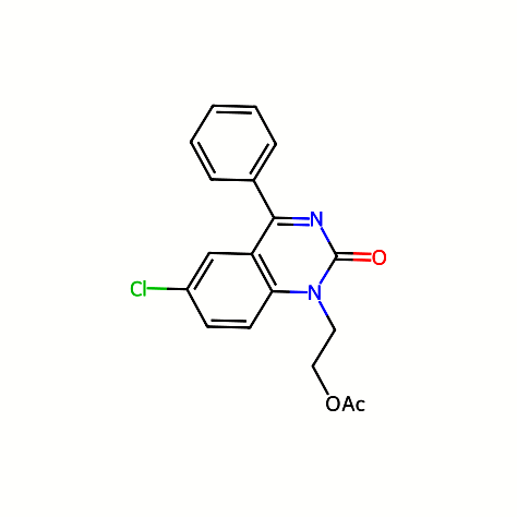 CC(=O)OCCn1c(=O)nc(-c2ccccc2)c2cc(Cl)ccc21